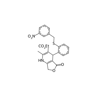 CCOC(=O)C1=C(C)NC2=C(C(=O)OC2)C1c1ccccc1SCc1cccc([N+](=O)[O-])c1